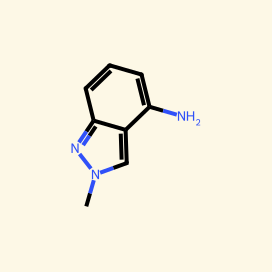 Cn1cc2c(N)cccc2n1